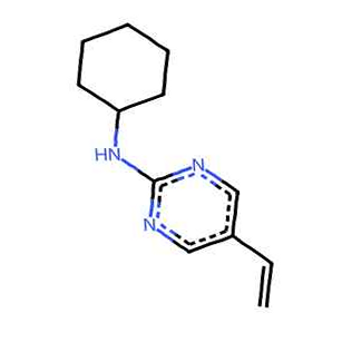 C=Cc1cnc(NC2CCCCC2)nc1